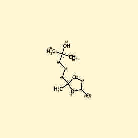 CCC1COC(C)(CCCC(C)(C)O)O1